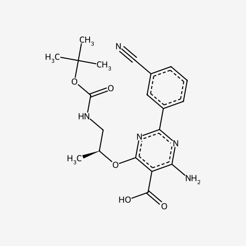 C[C@@H](CNC(=O)OC(C)(C)C)Oc1nc(-c2cccc(C#N)c2)nc(N)c1C(=O)O